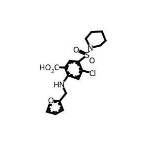 O=C(O)c1cc(S(=O)(=O)N2CCCCC2)c(Cl)cc1NCc1ccco1